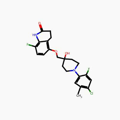 Cc1cc(N2CCC(O)(COc3ccc(F)c4c3CCC(=O)N4)CC2)c(F)cc1Cl